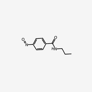 CCCNC(=O)c1ccc(N=O)cc1